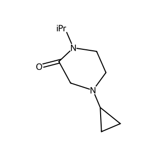 CC(C)N1CCN(C2CC2)CC1=O